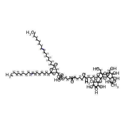 CCCCCCCC/C=C/CCCCCCCC(=O)OCC(COP(=O)(O)OCCNC(=O)CCCCC(=O)NCCCOC1OC(CO)C(O)C(OC2OC(CO)C(O)C(O)C2NC(C)=O)[C@H]1O[C@@H]1OC(C)[C@@H](O)[C@@H](O)C1O)OC(=O)CCCCCCC/C=C/CCCCCCCC